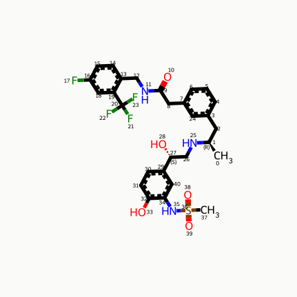 C[C@H](Cc1cccc(CC(=O)NCc2ccc(F)cc2C(F)(F)F)c1)NC[C@@H](O)c1ccc(O)c(NS(C)(=O)=O)c1